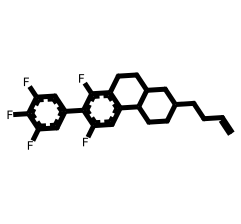 C=CCCC1CCC2c3cc(F)c(-c4cc(F)c(F)c(F)c4)c(F)c3CCC2C1